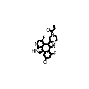 C=CC(=O)N1CCn2nc(-c3ccc(Cl)cc3F)c(-c3c(F)cnc4[nH]ccc34)c2C1